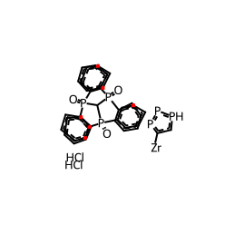 Cl.Cl.O=P(c1ccccc1)(c1ccccc1)C(P(=O)(c1ccccc1)c1ccccc1)P(=O)(c1ccccc1)c1ccccc1.[Zr][c]1c[pH]pp1